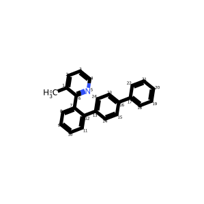 Cc1cccnc1-c1ccccc1-c1ccc(-c2ccccc2)cc1